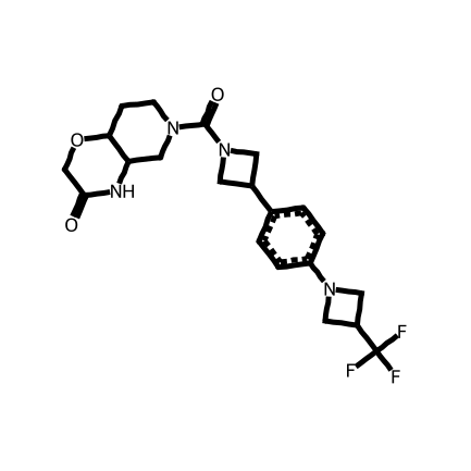 O=C1COC2CCN(C(=O)N3CC(c4ccc(N5CC(C(F)(F)F)C5)cc4)C3)CC2N1